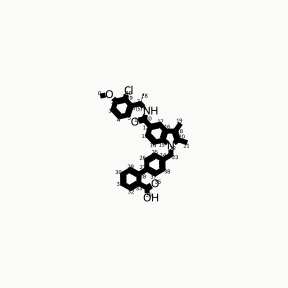 COc1cccc([C@H](C)NC(=O)c2ccc3c(c2)c(C)c(C)n3Cc2ccc(-c3ccccc3C(=O)O)cc2)c1Cl